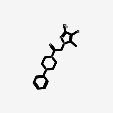 Cc1c(Cl)c(C(F)(F)F)nn1CC(=O)N1CCN(c2ccccc2)CC1